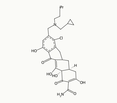 CC(C)CCN(Cc1cc(O)c2c(c1Cl)CC1C[C@H]3CC(O)=C(C(N)=O)C(=O)[C@@]3(O)C(O)=C1C2=O)CC1CC1